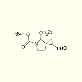 CCOC(=O)C1N(C(=O)OC(C)(C)C)CCC12CC2C=O